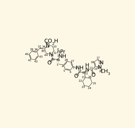 CCCN[C@H](Cc1ccc(NC(=O)[C@@H](NC(=O)c2ccnn2C)C2CCCCC2)cc1)C(=O)N1CCN(C(=O)O)[C@H](Cc2ccccc2)C1